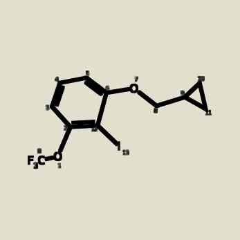 FC(F)(F)Oc1cccc(OCC2CC2)c1I